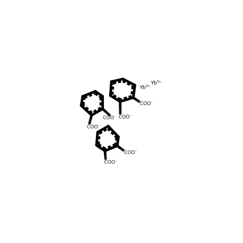 O=C([O-])c1ccccc1C(=O)[O-].O=C([O-])c1ccccc1C(=O)[O-].O=C([O-])c1ccccc1C(=O)[O-].[Yb+3].[Yb+3]